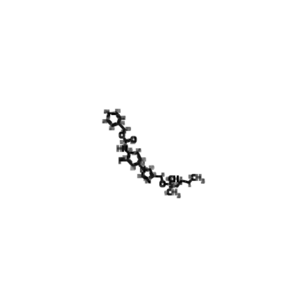 CCCC[Si](C)(C)OCc1cn(-c2ccc(NC(=O)OCc3ccccc3)c(F)c2)cn1